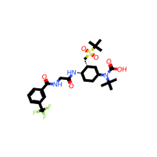 CC(C)(C)N(C(=O)O)C1CC[C@H](NC(=O)CNC(=O)c2cccc(C(F)(F)F)c2)[C@H](CS(=O)(=O)C(C)(C)C)C1